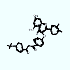 Cc1ccc(-c2oc3cc(O)cc(O)c3c(=O)c2Oc2ccc(C(=O)CC(=O)c3ccc(C(C)(C)C)cc3)cc2)cc1C